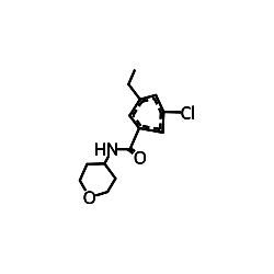 CCc1cc(Cl)cc(C(=O)NC2CCOCC2)c1